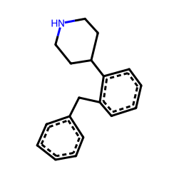 c1ccc(Cc2ccccc2C2CCNCC2)cc1